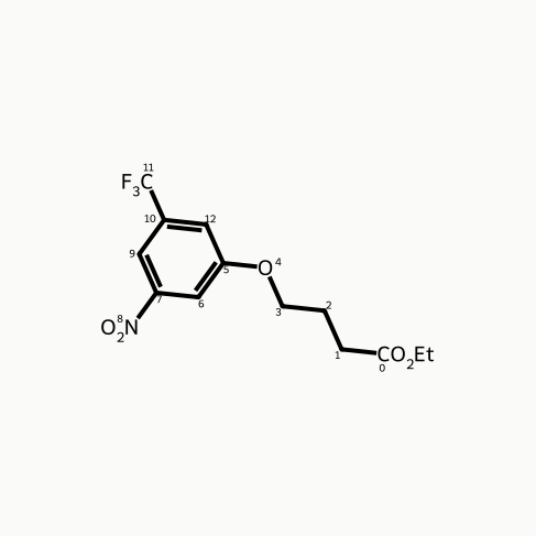 CCOC(=O)CCCOc1cc([N+](=O)[O-])cc(C(F)(F)F)c1